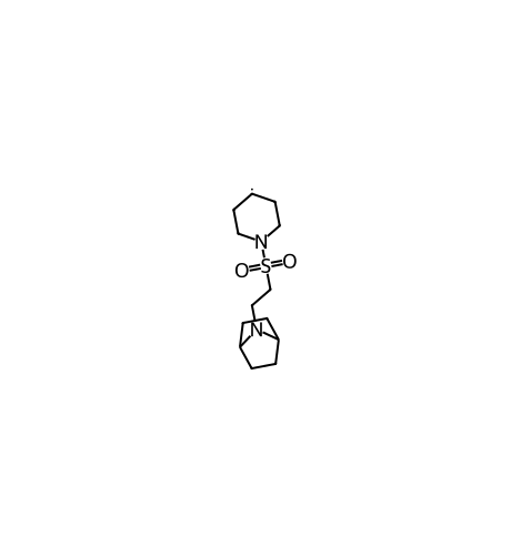 O=S(=O)(CCN1C2CCC1CC2)N1CC[CH]CC1